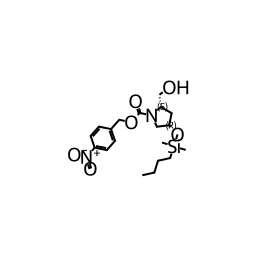 CCCC[Si](C)(C)O[C@@H]1C[C@@H](CO)N(C(=O)OCc2ccc([N+](=O)[O-])cc2)C1